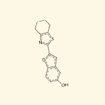 Oc1ccc2oc(-c3nc4c(s3)CCCC4)cc2c1